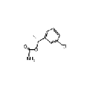 C[C@@H](OC(N)=O)c1cccc(Cl)c1